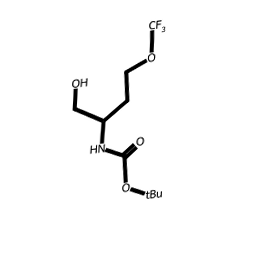 CC(C)(C)OC(=O)NC(CO)CCOC(F)(F)F